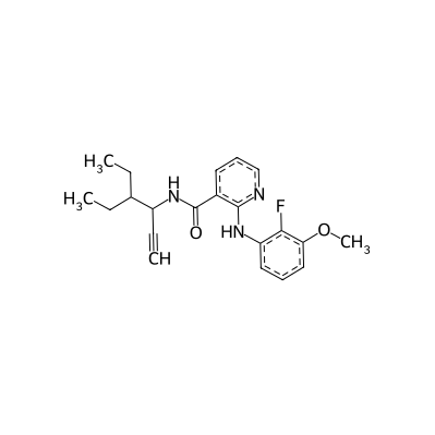 C#CC(NC(=O)c1cccnc1Nc1cccc(OC)c1F)C(CC)CC